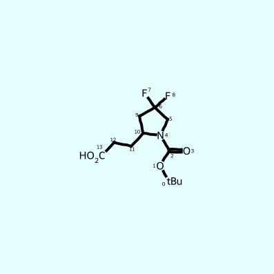 CC(C)(C)OC(=O)N1CC(F)(F)CC1CCC(=O)O